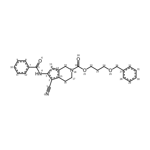 N#Cc1c(NC(=O)c2ccccc2)sc2c1CCN(C(=O)OCCCOCc1ccccc1)C2